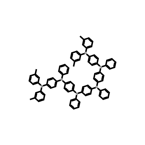 Cc1cccc(N(c2ccc(N(c3ccccc3)c3ccc(N(c4ccccc4)c4ccc(N(c5ccccc5)c5ccc(N(c6ccccc6)c6ccc(N(c7cccc(C)c7)c7cccc(C)c7)cc6)cc5)cc4)cc3)cc2)c2cccc(C)c2)c1